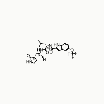 CC(C)C[C@H](NC(=O)c1cc2cc(OC(F)(F)F)ccc2[nH]1)C(=O)N[C@H](C#N)C[C@@H]1CCNC1=O